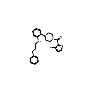 O=C(c1sccc1Br)N1CCN(c2ccccc2NCCCc2ccccc2)CC1